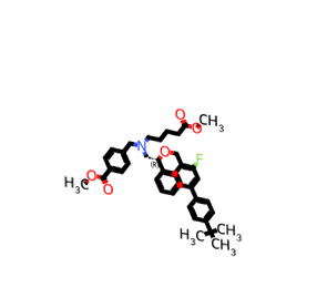 COC(=O)CCCCN(Cc1ccc(C(=O)OC)cc1)C[C@H](OCc1ccc(-c2ccc(C(C)(C)C)cc2)cc1F)c1ccccc1